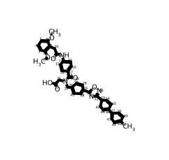 COc1cccc(OC)c1CC(=O)Nc1ccc(C(=O)N(CC(=O)O)Cc2ccc(-c3nc(C4C=CC(c5ccc(C)cc5)=CC4)no3)cc2)cc1